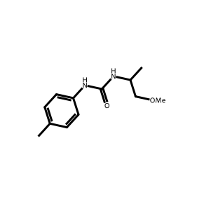 COCC(C)NC(=O)Nc1ccc(C)cc1